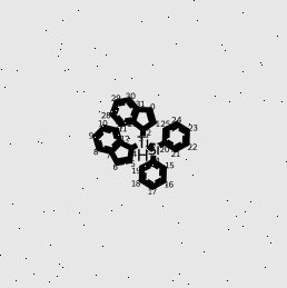 C1=C[CH]([TiH2]([CH]2C=Cc3ccccc32)=[Si](c2ccccc2)c2ccccc2)c2ccccc21